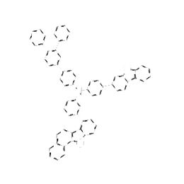 c1ccc(-c2ccc(-c3ccc(N(c4ccc(-c5ccc6c(c5)oc5ccccc56)cc4)c4cccc(-c5cccc6oc7c8ccccc8ccc7c56)c4)cc3)cc2-c2ccccc2)cc1